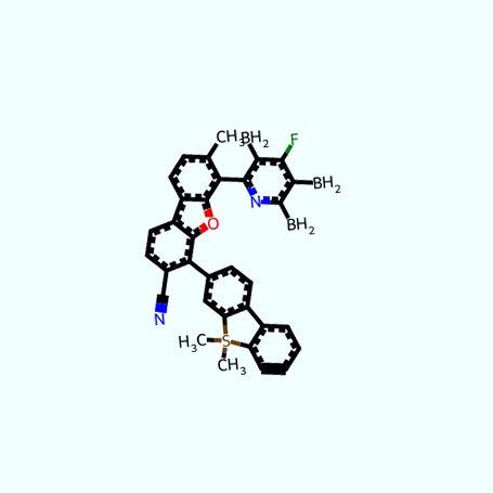 Bc1nc(-c2c(C)ccc3c2oc2c(-c4ccc5c(c4)S(C)(C)c4c#cccc4-5)c(C#N)ccc23)c(B)c(F)c1B